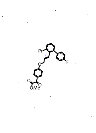 COC(=O)C(=O)c1ccc(OC/C=C/c2c(-c3ccc(F)cc3)cccc2C(C)C)cc1